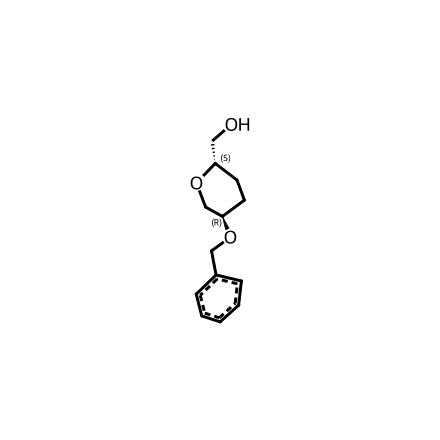 OC[C@@H]1CC[C@@H](OCc2ccccc2)CO1